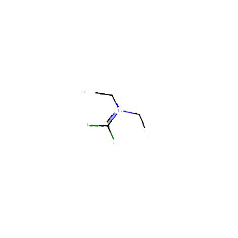 CC[N+](CC)=C(Cl)Cl